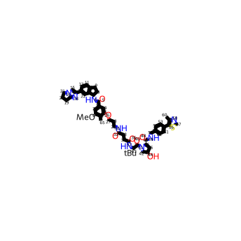 COc1cc(C(=O)N[C@@H]2CCc3ccc(-c4cn5c(n4)CCC5)cc32)cc(OCCCNC(=O)CCC(=O)N[C@H](C(=O)N2C[C@H](O)C[C@H]2C(=O)NCc2ccc(-c3scnc3C)cc2)C(C)(C)C)c1C